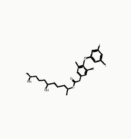 CC(O)CCCC(O)CCCC(C)OC(=O)Cc1cc(I)c(Oc2cc(I)cc(I)c2)c(I)c1